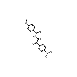 COc1ccc(C(=O)NNC(=O)c2ccc([N+](=O)[O-])cc2)cc1